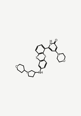 O=c1cc(N2CCOCC2)cc(-c2cccc3c2Sc2ccc(NC4CCN(C5CCOCC5)C4)cc2S3)[nH]1